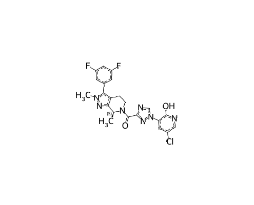 C[C@H]1c2nn(C)c(-c3cc(F)cc(F)c3)c2CCN1C(=O)c1ncn(-c2cc(Cl)cnc2O)n1